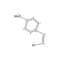 COc1ccc(/C=C\C(C)=O)cc1